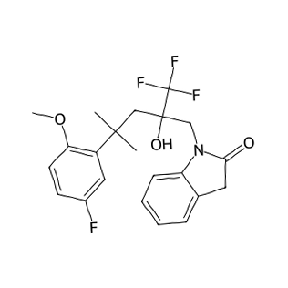 COc1ccc(F)cc1C(C)(C)CC(O)(CN1C(=O)Cc2ccccc21)C(F)(F)F